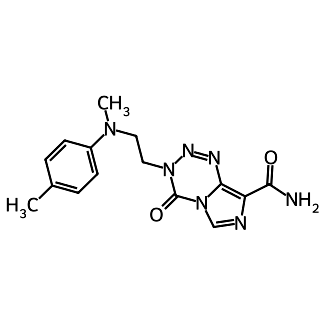 Cc1ccc(N(C)CCn2nnc3c(C(N)=O)ncn3c2=O)cc1